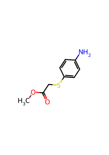 COC(=O)CSc1ccc(N)cc1